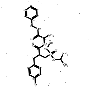 CC(N)OP(=O)(CC(Cc1ccc(Br)cc1)C(=O)NC(C)C(=O)OCc1ccccc1)OO